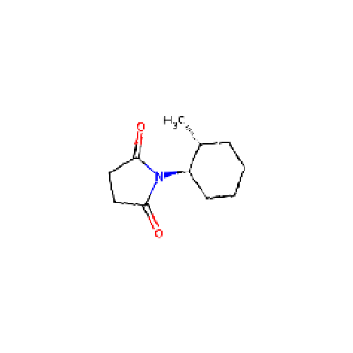 C[C@@H]1CCCC[C@H]1N1C(=O)CCC1=O